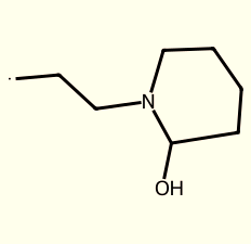 [CH2]CCN1CCCCC1O